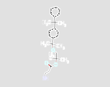 CC(C)(COC(C)(C)c1ccc(C(C)(C)c2ccccc2)cc1)OC(=O)CCS